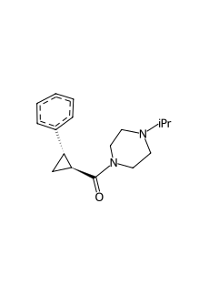 CC(C)N1CCN(C(=O)[C@H]2C[C@@H]2c2ccccc2)CC1